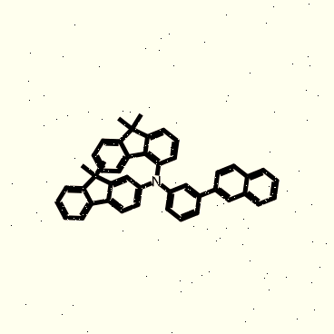 CC1(C)c2ccccc2-c2ccc(N(c3cccc(-c4ccc5ccccc5c4)c3)c3cccc4c3-c3ccccc3C4(C)C)cc21